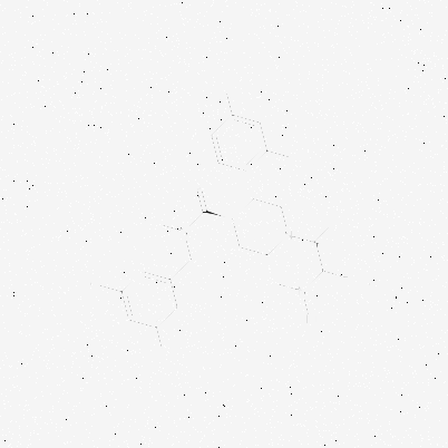 CCN(CC)C(C)C(=O)N1CC[C@@H](C(=O)N(C)Cc2cc(C(F)(F)F)cc(C(F)(F)F)c2)[C@H](c2ccc(F)cc2C)C1.Cl